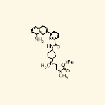 CN(CCN(C)C1CCC(NC(=O)c2cccc(-c3ccc4cccc(N)c4c3)n2)CC1)C(=O)OC(C)(C)C